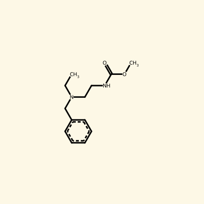 CCN(CCNC(=O)OC)Cc1ccccc1